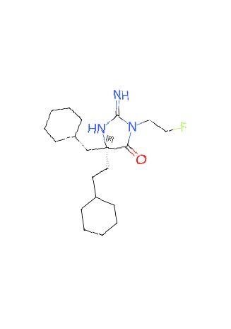 N=C1N[C@](CCC2CCCCC2)(CC2CCCCC2)C(=O)N1CCF